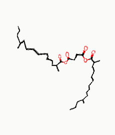 CCCC(C)CCCCCCCCC(C)C(=O)OC(=O)CCC(=O)OC(=O)C(C)CCCCCCCCC(C)CCC